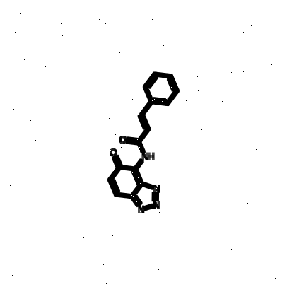 O=C(C=Cc1ccccc1)NC1=C2N=NN=C2C=CC1=O